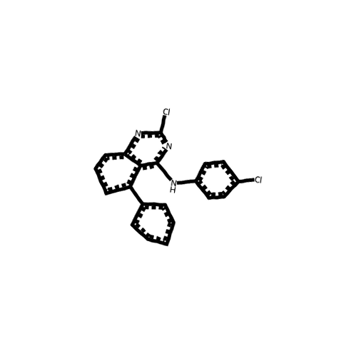 Clc1ccc(Nc2nc(Cl)nc3cccc(-c4ccccc4)c23)cc1